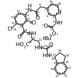 CC(C)(C)OC(=O)Nc1cc(CC(=O)Nc2ccc(Cl)c(C(=O)NC(CNC(=O)N[C@@H]3CCc4ccccc43)C(=O)O)c2Cl)ccn1